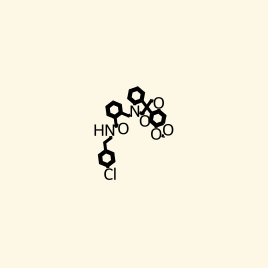 O=C(NCCc1ccc(Cl)cc1)c1ccccc1CN1C(=O)C2(COc3cc4c(cc32)OCO4)c2ccccc21